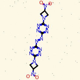 O=[N+]([O-])C1CN(c2nnc(N=Nc3nnc(N4CC([N+](=O)[O-])C4)nn3)nn2)C1